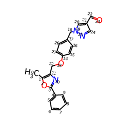 Cc1oc(-c2ccccc2)nc1COc1ccc(Cn2cc(C=O)cn2)cc1